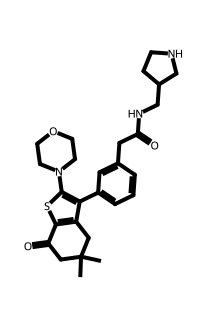 CC1(C)CC(=O)c2sc(N3CCOCC3)c(-c3cccc(CC(=O)NCC4CCNC4)c3)c2C1